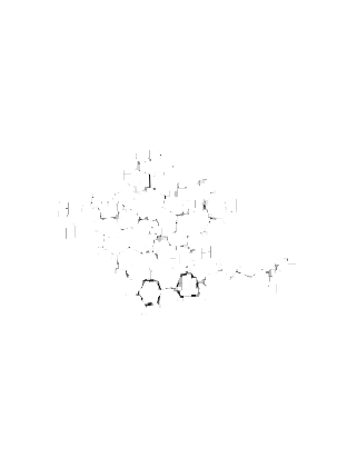 CCCC(CC)CCC(C)[CH2][Al-]([CH2]C(C)CCC(CC)CCC)([CH2]C(C)CCC(CC)CCC)[CH2]C(C)CCC(CC)CCC.CCCCCC[PH2+]C.c1ccc(-c2ccccc2)cc1